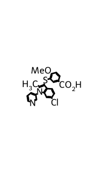 COc1ccc(C(=O)O)cc1Sc1c(C)n(-c2cccnc2)c2cc(Cl)ccc12